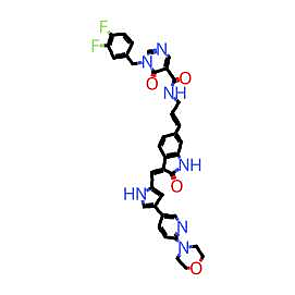 O=C1Nc2cc(/C=C/CNC(=O)c3cncn(Cc4ccc(F)c(F)c4)c3=O)ccc2/C1=C/c1cc(-c2ccc(N3CCOCC3)nc2)c[nH]1